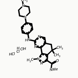 CNC(=O)c1nn(C)c2c1C(C)(C)Cc1cnc(Nc3ccc(N4CCN(C)CC4)cc3)nc1-2.Cl.Cl.Cl